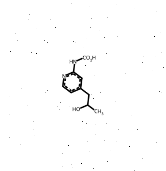 CC(O)Cc1ccnc(NC(=O)O)c1